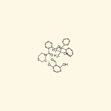 CC(C)(C)[Si](OCc1ccccc1C(=O)N1CCSC[C@H]1COc1cccc(O)c1C=O)(c1ccccc1)c1ccccc1